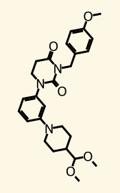 COc1ccc(CN2C(=O)CCN(c3cccc(N4CCC(C(OC)OC)CC4)c3)C2=O)cc1